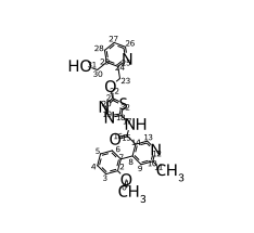 COc1ccccc1-c1cc(C)ncc1C(=O)Nc1nnc(OCc2ncccc2CO)s1